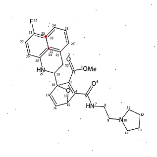 COC(=O)C1=C(C(=O)NCCN2CCCC2)C2C=CC1(C(Cc1ccccc1)Nc1ccc(F)cc1)O2